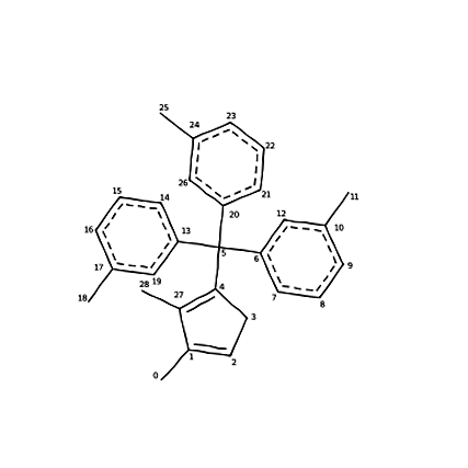 CC1=CCC(C(c2cccc(C)c2)(c2cccc(C)c2)c2cccc(C)c2)=C1C